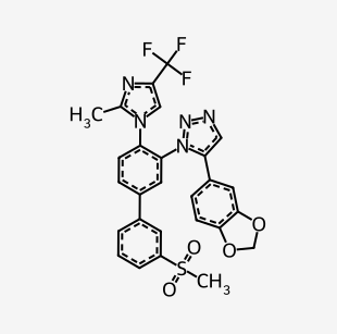 Cc1nc(C(F)(F)F)cn1-c1ccc(-c2cccc(S(C)(=O)=O)c2)cc1-n1nncc1-c1ccc2c(c1)OCO2